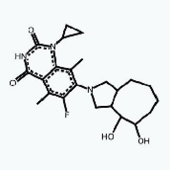 Cc1c(F)c(N2CC3CCCCC(O)C(O)C3C2)c(C)c2c1c(=O)[nH]c(=O)n2C1CC1